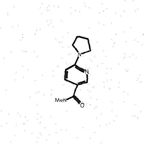 CNC(=O)c1ccc(N2CCCC2)nc1